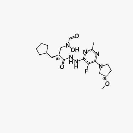 CO[C@H]1CCN(c2nc(C)nc(NNC(=O)[C@@H](CC3CCCC3)CN(O)C=O)c2F)C1